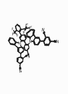 N#Cc1ccc(-c2ccc3c(c2)c2ccccc2n3-c2cc(C#N)ccc2-c2ccc(-c3c(C(F)(F)F)cccc3C(F)(F)F)cc2-n2c3ccccc3c3cc(-c4ccc(C#N)cc4C#N)ccc32)c(C#N)c1